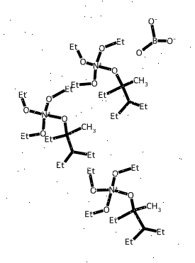 CCO[N+](OCC)(OCC)OC(C)(CC)C(CC)CC.CCO[N+](OCC)(OCC)OC(C)(CC)C(CC)CC.CCO[N+](OCC)(OCC)OC(C)(CC)C(CC)CC.[O-]B([O-])[O-]